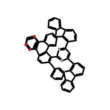 c1ccc(-c2ccccc2-c2c(-c3ccccc3)ccc(-c3ccccc3)c2-c2nc(-c3cccc4c3oc3ccccc34)cc(-c3cccc4c3oc3ccccc34)n2)cc1